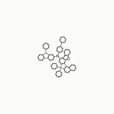 c1ccc(-c2ccc(N(c3ccc4c(c3)C(c3ccccc3)c3ccccc3-4)c3cc4c(c5oc6ccccc6c35)-c3c(ccc5ccccc35)C4(c3ccccc3)c3ccccc3)cc2)cc1